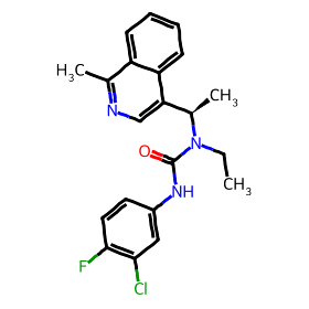 CCN(C(=O)Nc1ccc(F)c(Cl)c1)[C@H](C)c1cnc(C)c2ccccc12